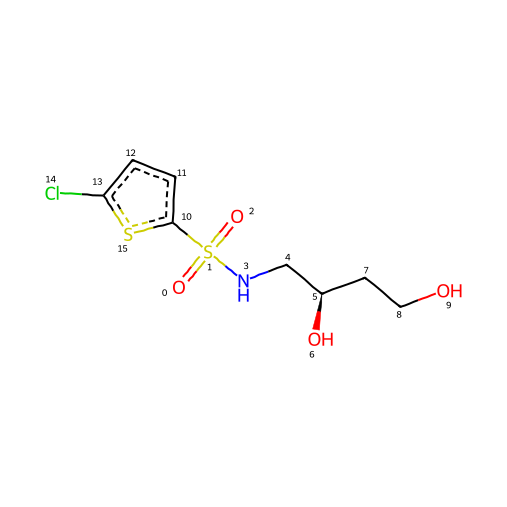 O=S(=O)(NC[C@H](O)CCO)c1ccc(Cl)s1